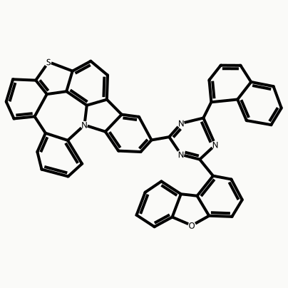 c1ccc2c(-c3nc(-c4ccc5c(c4)c4ccc6sc7cccc8c9ccccc9n5c4c6c78)nc(-c4cccc5oc6ccccc6c45)n3)cccc2c1